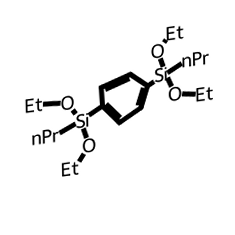 CCC[Si](OCC)(OCC)c1ccc([Si](CCC)(OCC)OCC)cc1